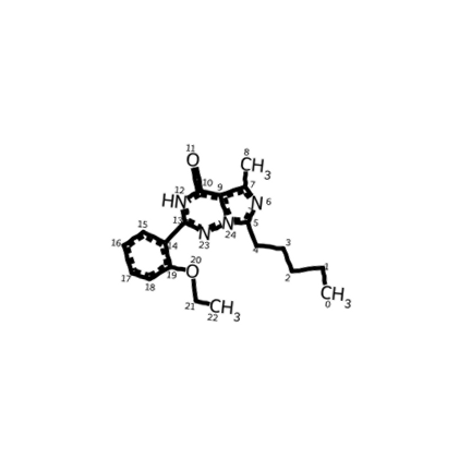 CCCCCc1nc(C)c2c(=O)[nH]c(-c3ccccc3OCC)nn12